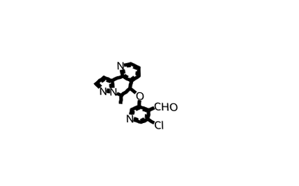 CC1C(Oc2cncc(Cl)c2C=O)c2cccnc2-c2ccnn21